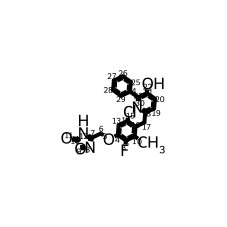 Cc1c(F)c(OCc2noc(=O)[nH]2)cc(Cl)c1Cc1ccc(O)c(-c2ccccc2)n1